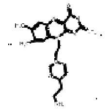 C=c1nc2c(c(=O)[nH]1)=Nc1cc(C)c(C)cc1N2CCN1CCC(CCN)CC1